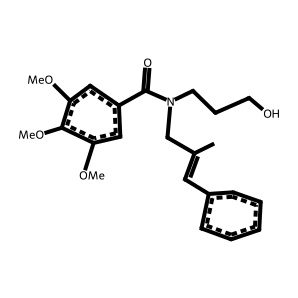 COc1cc(C(=O)N(CCCO)C/C(C)=C/c2ccccc2)cc(OC)c1OC